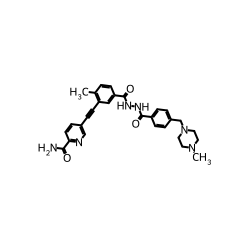 Cc1ccc(C(=O)NNC(=O)c2ccc(CN3CCN(C)CC3)cc2)cc1C#Cc1ccc(C(N)=O)nc1